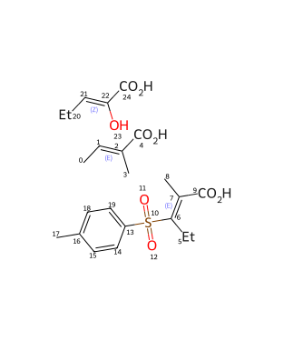 C/C=C(\C)C(=O)O.CC/C(=C(/C)C(=O)O)S(=O)(=O)c1ccc(C)cc1.CC/C=C(\O)C(=O)O